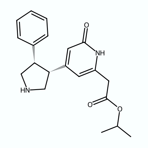 CC(C)OC(=O)Cc1cc([C@@H]2CNC[C@@H]2c2ccccc2)cc(=O)[nH]1